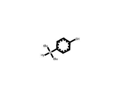 CC(C)(C)[Si]([18F])(c1ccc(S)cc1)C(C)(C)C